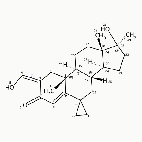 C[C@]12C/C(=C/O)C(=O)C=C1C1(CC1)C[C@@H]1[C@@H]2CC[C@@]2(C)[C@H]1CC[C@]2(C)O